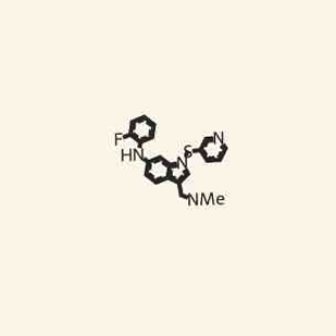 CNCc1cn(Sc2cccnc2)c2cc(Nc3ccccc3F)ccc12